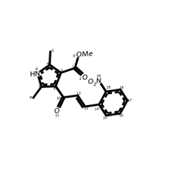 COC(=O)c1c(C)[nH]c(C)c1C(=O)C=Cc1ccccc1[N+](=O)[O-]